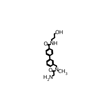 CN(Cc1cccc(-c2ccc(C(=O)NCCCO)cc2)c1)C(=O)CN